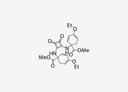 CCOC1=CCC(Nc2c(NC3(C(=O)OC)C=CC(OCC)=CC3)c(=O)c2=O)(C(=O)OC)C=C1